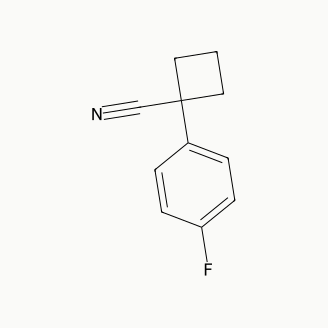 N#CC1(c2ccc(F)cc2)CCC1